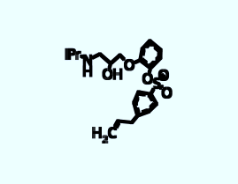 C=CCc1ccc(S(=O)(=O)Oc2ccccc2OCC(O)CNC(C)C)cc1